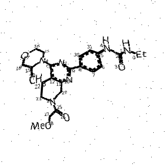 CCNC(=O)Nc1ccc(-c2nc3c(c(N4CCOCC4C)n2)CCN(C(=O)COC)C3)cc1